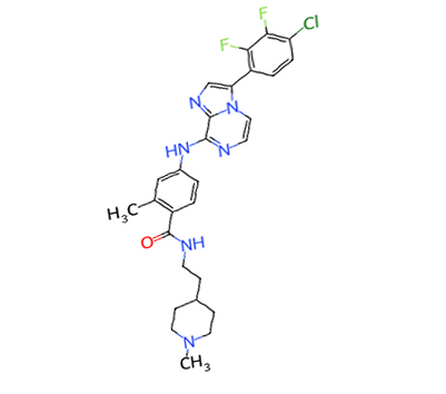 Cc1cc(Nc2nccn3c(-c4ccc(Cl)c(F)c4F)cnc23)ccc1C(=O)NCCC1CCN(C)CC1